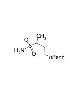 CCCCCCCC(C)S(N)(=O)=O